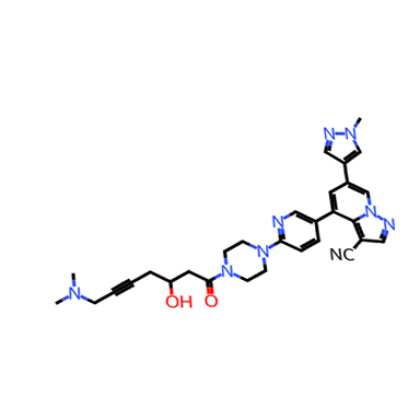 CN(C)CC#CCC(O)CC(=O)N1CCN(c2ccc(-c3cc(-c4cnn(C)c4)cn4ncc(C#N)c34)cn2)CC1